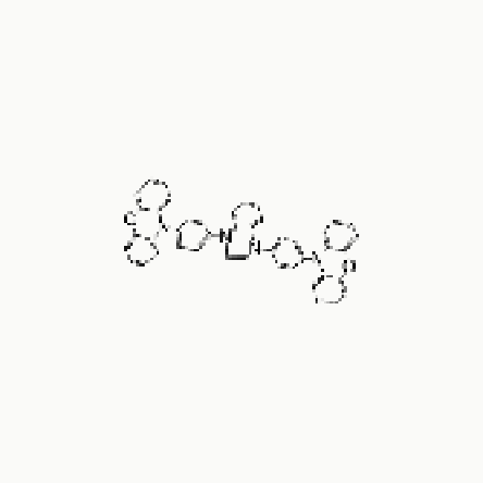 C1=CN(c2ccc(N3c4ccccc4Oc4ccccc43)cc2)c2ccccc2N1c1ccc(N2c3ccccc3Oc3ccccc32)cc1